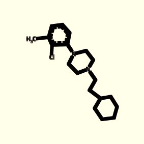 Cc1cccc(N2CCN(CCC3CCCCC3)CC2)c1Cl